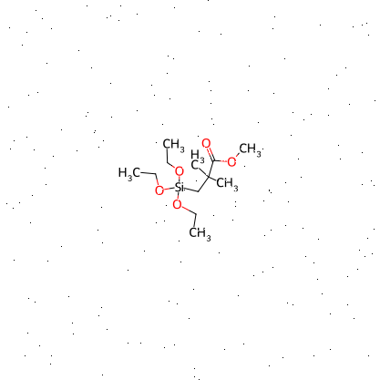 CCO[Si](CC(C)(C)C(=O)OC)(OCC)OCC